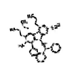 CCCc1cc(C)cc2c1-c1c(CCC)c(CCC)c(C)c(C3=CC=CC3)c1[CH]2[Zr+2]=[C](c1ccccc1)c1ccccc1.[Cl-].[Cl-]